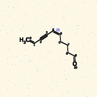 C=CC#C/C=C\CCCC=O